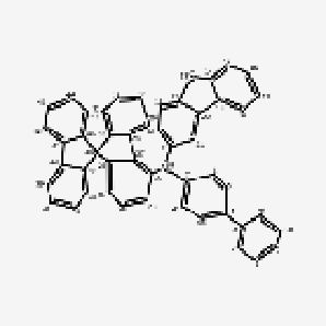 c1ccc(-c2ccc(N(c3ccc4sc5ccccc5c4c3)c3cccc4c3-c3ccccc3C43c4ccccc4-c4ccccc43)cc2)cc1